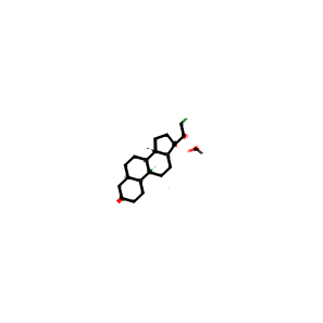 CCC(=O)O[C@]1(C(=O)CBr)[C@@H](C)C[C@H]2[C@@H]3CC[C@@H]4CC(=O)CC[C@]4(C)[C@@]3(F)[C@@H](O)C[C@@]21C